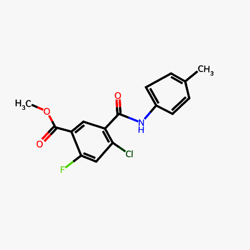 COC(=O)c1cc(C(=O)Nc2ccc(C)cc2)c(Cl)cc1F